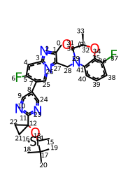 Cc1nc2cc(F)c(-c3cnc(C4(O[Si](C)(C)C(C)(C)C)CC4)nc3)cn2c1CN1C(=O)[C@@H](C)Oc2c(F)cccc21